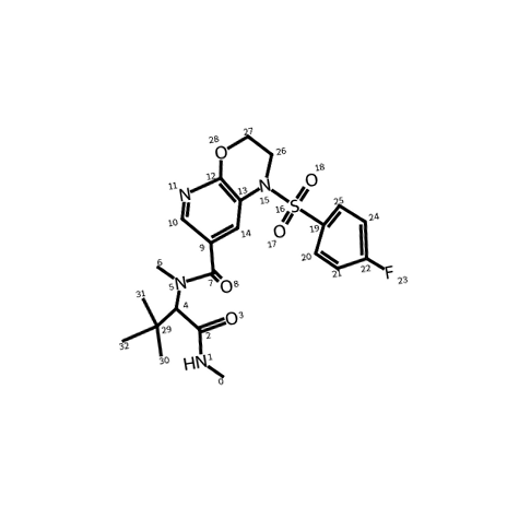 CNC(=O)C(N(C)C(=O)c1cnc2c(c1)N(S(=O)(=O)c1ccc(F)cc1)CCO2)C(C)(C)C